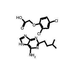 CC(C)CCc1nc(N)c2[nH]cnc2n1.O=C(O)COc1ccc(Cl)cc1Cl